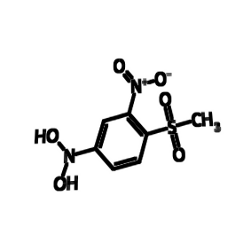 CS(=O)(=O)c1ccc(N(O)O)cc1[N+](=O)[O-]